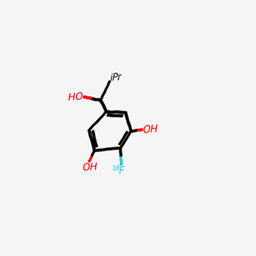 CC(C)C(O)c1cc(O)c([18F])c(O)c1